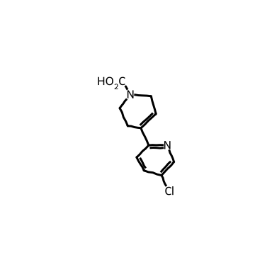 O=C(O)N1CC=C(c2ccc(Cl)cn2)CC1